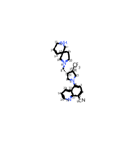 N#Cc1ccc(N2C[C@H](CN3CCC4(CCCNC4)C3)[C@@H](C(F)(F)F)C2)c2cccnc12